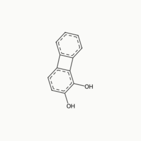 Oc1ccc2c(c1O)-c1ccccc1-2